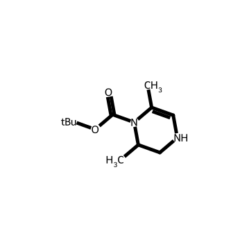 CC1=CNCC(C)N1C(=O)OC(C)(C)C